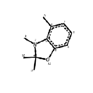 Cc1cccc2c1N(C)C(C)(C)O2